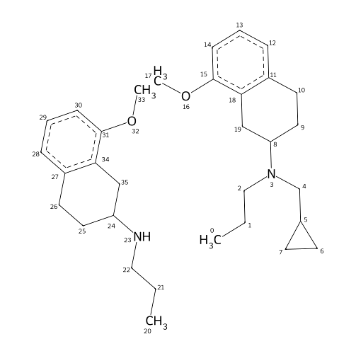 CCCN(CC1CC1)C1CCc2cccc(OC)c2C1.CCCNC1CCc2cccc(OC)c2C1